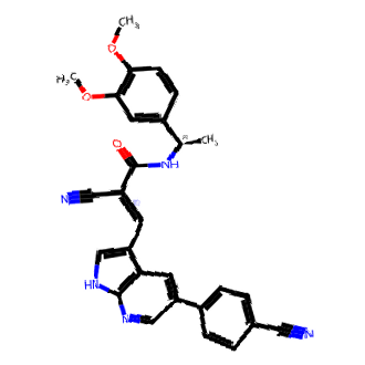 COc1ccc([C@@H](C)NC(=O)/C(C#N)=C/c2c[nH]c3ncc(-c4ccc(C#N)cc4)cc23)cc1OC